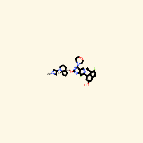 C#Cc1c(F)ccc2cc(O)cc(-c3ncc4c(N5CCCOCC5)nc(OC[C@]56CCC[C@H]5N(C5CN(C(C)=O)C5)CCC6)nc4c3F)c12